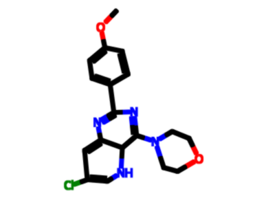 COc1ccc(C2=NC3=CC(Cl)=CNC3C(N3CCOCC3)=N2)cc1